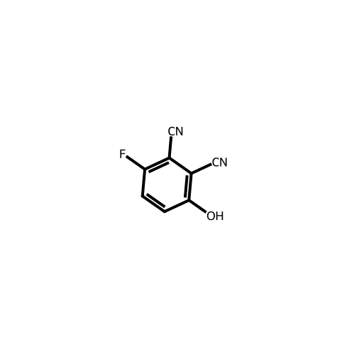 N#Cc1c(O)ccc(F)c1C#N